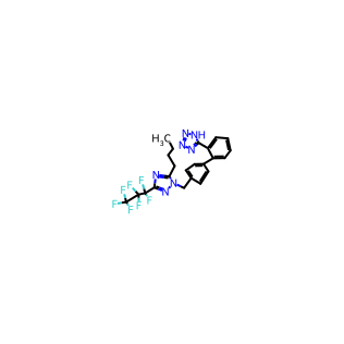 CCCCc1nc(C(F)(F)C(F)(F)C(F)(F)F)nn1Cc1ccc(-c2ccccc2-c2nnn[nH]2)cc1